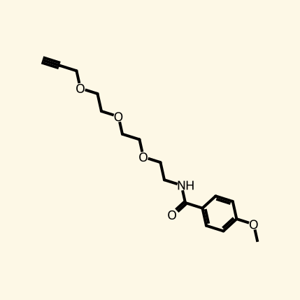 C#CCOCCOCCOCCNC(=O)c1ccc(OC)cc1